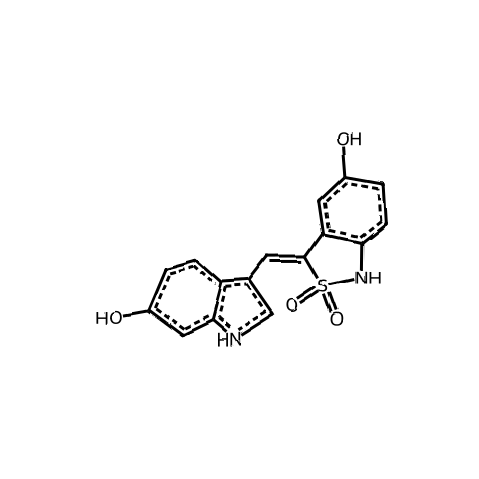 O=S1(=O)Nc2ccc(O)cc2C1=Cc1c[nH]c2cc(O)ccc12